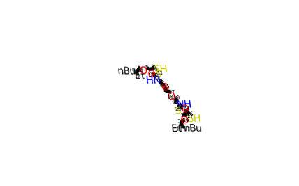 CCCCC(CC)COCC(CS)OC(=S)NCCOCCOCCNC(=S)OC(CS)COCC(CC)CCCC